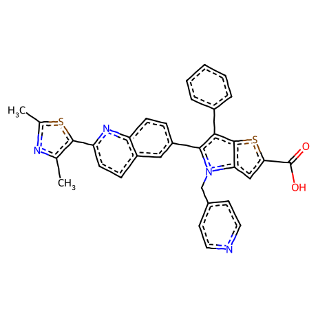 Cc1nc(C)c(-c2ccc3cc(-c4c(-c5ccccc5)c5sc(C(=O)O)cc5n4Cc4ccncc4)ccc3n2)s1